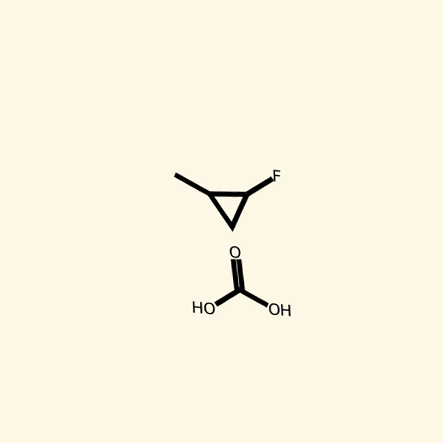 CC1CC1F.O=C(O)O